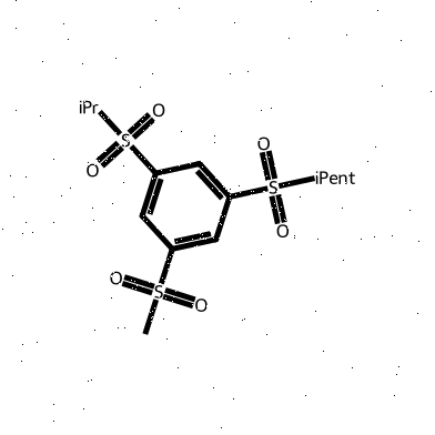 CCCC(C)S(=O)(=O)c1cc(S(C)(=O)=O)cc(S(=O)(=O)C(C)C)c1